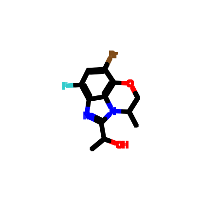 CC(O)c1nc2c(F)cc(Br)c3c2n1C(C)CO3